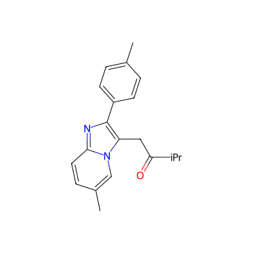 Cc1ccc(-c2nc3ccc(C)cn3c2CC(=O)C(C)C)cc1